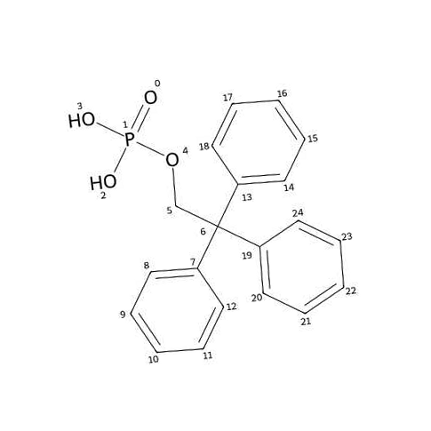 O=P(O)(O)OCC(c1ccccc1)(c1ccccc1)c1ccccc1